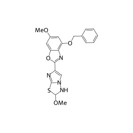 COc1cc(OCc2ccccc2)c2nc(-c3cn4c(n3)SC(OC)N4)oc2c1